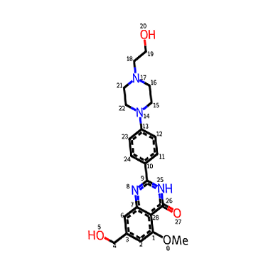 COc1cc(CO)cc2nc(-c3ccc(N4CCN(CCO)CC4)cc3)[nH]c(=O)c12